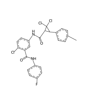 Cc1ccc(C2C(C(=O)Nc3ccc(Cl)c(C(=O)Nc4ccc(F)cc4)c3)C2(Cl)Cl)cc1